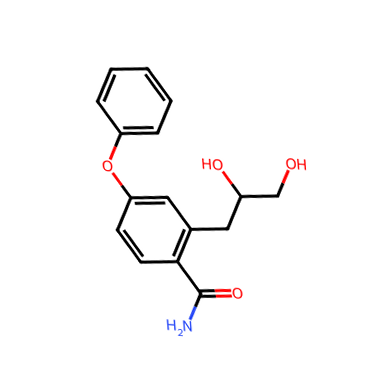 NC(=O)c1ccc(Oc2ccccc2)cc1CC(O)CO